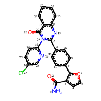 NC(=O)c1ccoc1-c1ccc(-c2nc3ccccc3c(=O)n2-c2ccc(Cl)cn2)cc1